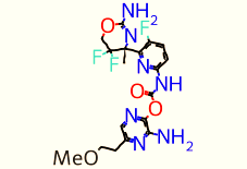 COCCc1cnc(OC(=O)Nc2ccc(F)c([C@@]3(C)N=C(N)OCC3(F)F)n2)c(N)n1